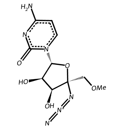 COC[C@@]1(N=[N+]=[N-])O[C@@H](n2ccc(N)nc2=O)[C@H](O)[C@@H]1O